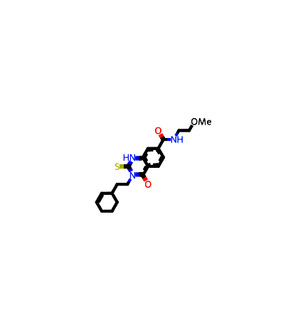 COCCNC(=O)c1ccc2c(=O)n(CCC3C=CCCC3)c(=S)[nH]c2c1